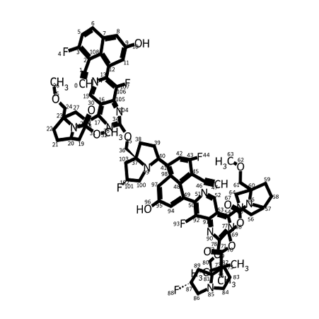 C#Cc1c(F)ccc2cc(O)cc(-c3ncc4c(N5CC6CCC(COC)(C5)N6C(=O)OC)nc(OC[C@@]56CCC(c7cc(F)c(C#C)c8c(-c9ncc%10c(N%11CC%12CCC(COC)(C%11)N%12C(=O)OCOC(=O)C(C)(C)C)nc(OC[C@@]%11%12CCCN%11C[C@H](F)C%12)nc%10c9F)cc(O)cc78)N5C[C@H](F)C6)nc4c3F)c12